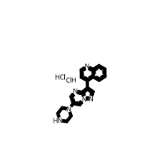 Cl.Cl.c1ccc2c(-c3cnn4cc(N5CCNCC5)cnc34)ccnc2c1